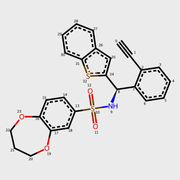 C#Cc1ccccc1[C@@H](NS(=O)(=O)c1ccc2c(c1)OCCCO2)c1cc2ccccc2s1